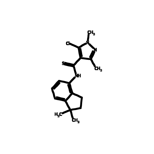 Cc1nn(C)c(Cl)c1C(=S)Nc1cccc2c1CCC2(C)C